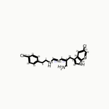 NC/C(=C\N=C\NCCc1ccc(Cl)cc1)Cc1c[nH]c2ncc(Cl)cc12